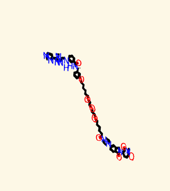 C[C@@H](NC(=O)c1cccc(NCc2nnc(-c3ccncn3)n2C)c1)c1cccc(OCCCCCCOCCOCCOCCCCCC(=O)N2CCN(c3ccc4c(c3)CN(C3CCC(=O)N(C)C3=O)C4=O)CC2)c1